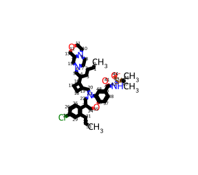 CCCCC(CN1CCN2CCOCC2C1)C1CCC1CN1CC(c2ccc(Cl)cc2CCC)COc2ccc(C(=O)N[S+]([O-])C(C)C)cc21